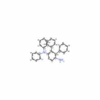 Nc1ccc(N(c2ccccc2)c2ccccc2)c(-c2ccccc2)c1-c1ccccc1